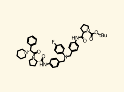 CC(C)(C)OC(=O)N1CCCC1C(=O)Nc1ccc(CN(Cc2ccc(NC(=O)[C@@H]3CCCN3C(=O)[C@@H](c3ccccc3)N3CCCCC3)cc2)c2ccc(F)cc2)cc1